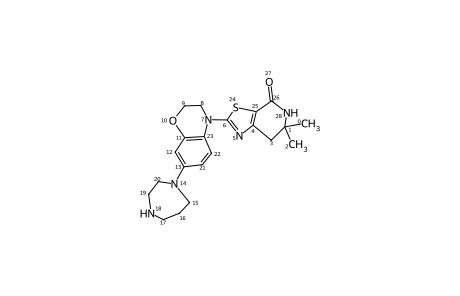 CC1(C)Cc2nc(N3CCOc4cc(N5CCCNCC5)ccc43)sc2C(=O)N1